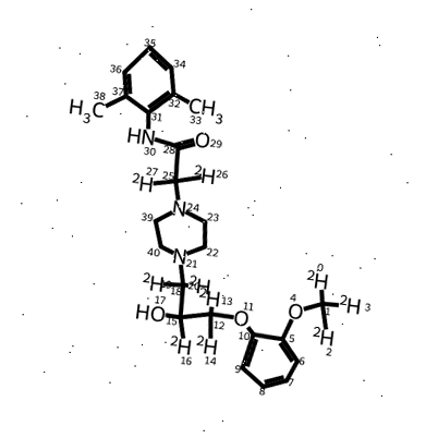 [2H]C([2H])([2H])Oc1ccccc1OC([2H])([2H])C([2H])(O)C([2H])([2H])N1CCN(C([2H])([2H])C(=O)Nc2c(C)cccc2C)CC1